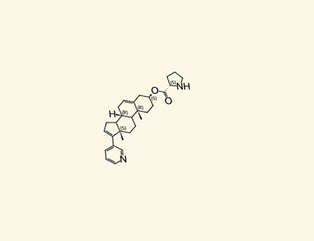 C[C@]12CC[C@H](OC(=O)[C@@H]3CCCN3)CC1=CC[C@@H]1C2CC[C@]2(C)C(c3cccnc3)=CCC12